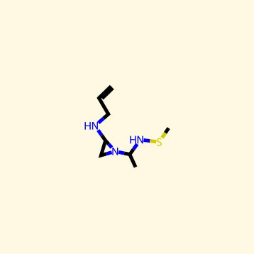 C=CCNC1CN1C(C)NSC